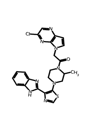 CC1CN(c2scnc2-c2nc3ccccc3[nH]2)CCN1C(=O)Cn1ccc2ncc(Cl)nc21